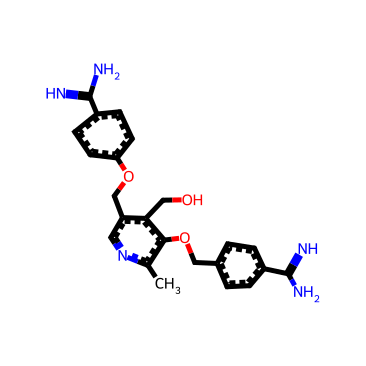 Cc1ncc(COc2ccc(C(=N)N)cc2)c(CO)c1OCc1ccc(C(=N)N)cc1